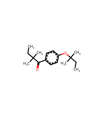 CCC(C)(C)Oc1ccc(C(=O)C(C)(C)CC)cc1